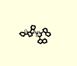 c1ccc2c(-c3cc(-c4cccc5ccccc45)nc(-n4c5ccccc5c5c6oc7ccccc7c6ccc54)n3)cccc2c1